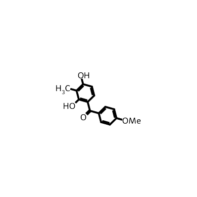 COc1ccc(C(=O)c2ccc(O)c(C)c2O)cc1